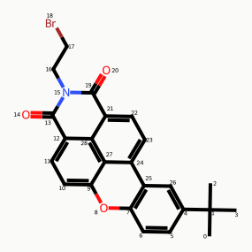 CC(C)(C)c1ccc2oc3ccc4c(=O)n(CCBr)c(=O)c5ccc(c2c1)c3c45